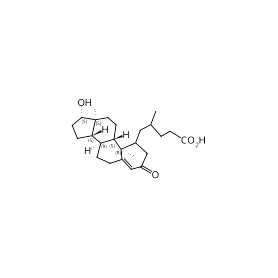 CC(CCC(=O)O)CC1CC(=O)C=C2CC[C@H]3[C@@H]4CC[C@H](O)[C@@]4(C)CC[C@@H]3[C@]21C